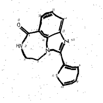 O=C1NCCn2c(-c3cccs3)nc3cccc1c32